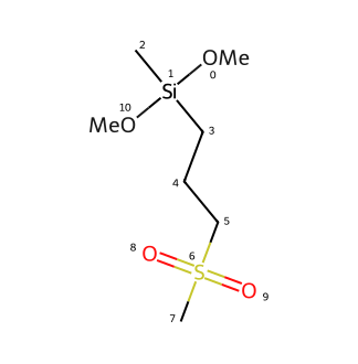 CO[Si](C)(CCCS(C)(=O)=O)OC